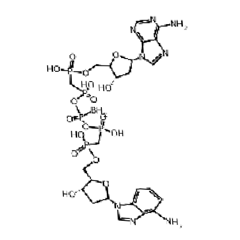 BP(=O)(OP(=O)(O)CP(=O)(O)OC[C@H]1O[C@@H](n2cnc3c(N)cccc32)C[C@@H]1O)OP(=O)(O)CP(=O)(O)OC[C@H]1O[C@@H](n2cnc3c(N)ncnc32)C[C@@H]1O